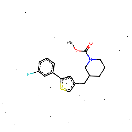 CC(C)(C)OC(=O)N1CCCC(Cc2csc(-c3cccc(F)c3)c2)C1